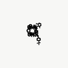 Cc1cccc(C)c1-c1cc2nc(n1)NS(=O)(=O)c1cccc(c1)C(=O)N[C@@H]1CCN(Cc3ccc(C(C)(C)C)cc3)C[C@@H]1O2